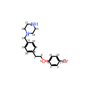 Brc1ccc(OCCc2ccc(CN3CCNCC3)cc2)cc1